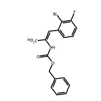 O=C(N/C(=C\c1cccc(F)c1Br)C(=O)O)OCc1ccccc1